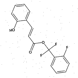 O=C(C=Cc1ccccc1O)OC(F)(F)c1ccccc1F